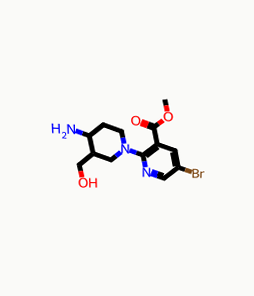 COC(=O)c1cc(Br)cnc1N1CCC(N)C(CO)C1